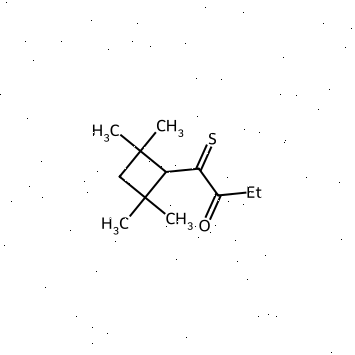 CCC(=O)C(=S)C1C(C)(C)CC1(C)C